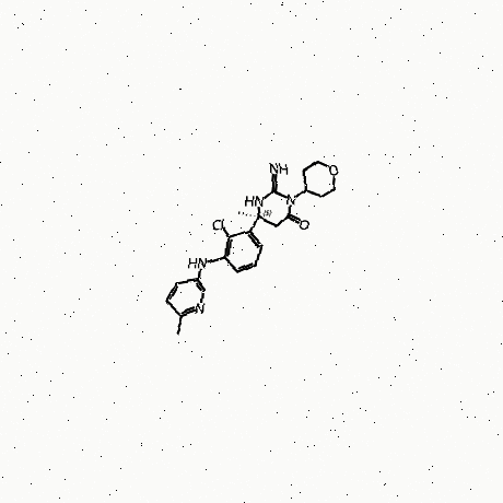 Cc1ccc(Nc2cccc([C@]3(C)CC(=O)N(C4CCOCC4)C(=N)N3)c2Cl)cn1